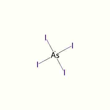 I[As](I)(I)I